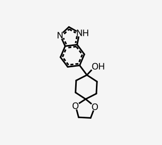 OC1(c2ccc3nc[nH]c3c2)CCC2(CC1)OCCO2